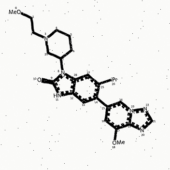 COCCN1CCCC(n2c(=O)[nH]c3cc(-c4cc(OC)c5ncnn5c4)c(C(C)C)cc32)C1